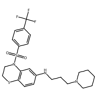 O=S(=O)(c1ccc(C(F)(F)F)cc1)N1CCSc2ccc(NCCCN3CCCCC3)cc21